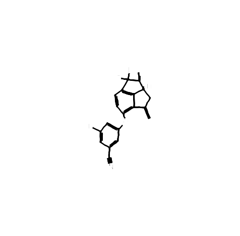 C=C1C[C@]2(O)c3c(ccc(Oc4cc(F)cc(C#N)c4)c31)C(F)(F)C2(F)F